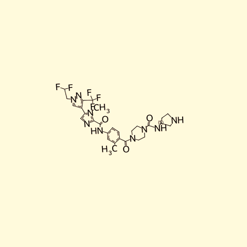 Cc1cc(NC(=O)c2ncc(-c3cn(CC(F)F)nc3C(F)(F)F)n2C)ccc1C(=O)N1CCN(C(=O)N[C@H]2CCNC2)CC1